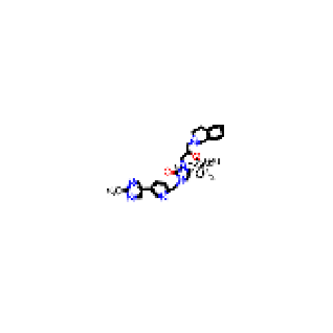 CC(C)(C)[Si](C)(C)O[C@H](CN1CCc2ccccc2C1)CN1CCN(Cc2ccc(-c3cnc(C#N)nc3)cn2)C1=O